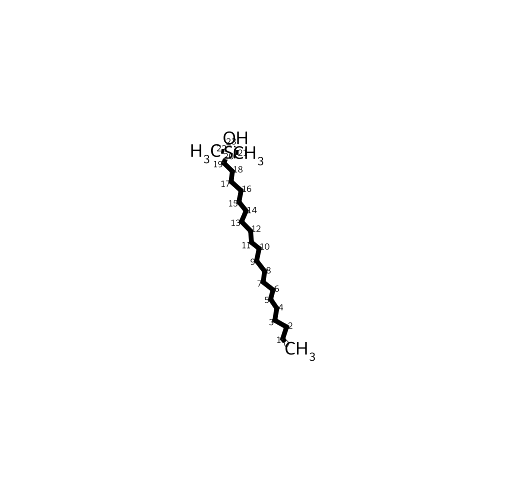 CCCCCCCCCCCCCCCCCCCC[Si](C)(C)O